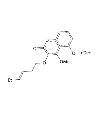 CC/C=C/CCOc1c(OC)c2c(OCCCCCCCCCC)cccc2oc1=O